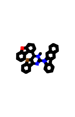 CN1C(n2c3ccccc3c3cc4ccccc4cc32)=Nc2c(sc3ccccc23)C1c1cccc2oc3ccccc3c12